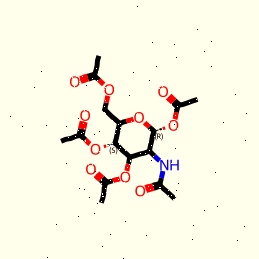 CC(=O)NC1C(OC(C)=O)[C@H](OC(C)=O)C(COC(C)=O)O[C@@H]1OC(C)=O